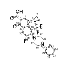 O=C(O)c1cn(C2CC2)c2c(C(F)(F)F)c(N3CCN(c4ccccn4)CC3)c(F)cc2c1=O